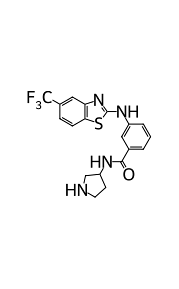 O=C(NC1CCNC1)c1cccc(Nc2nc3cc(C(F)(F)F)ccc3s2)c1